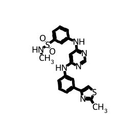 CNS(=O)(=O)c1cccc(Nc2cc(Nc3cccc(-c4csc(C)n4)c3)ncn2)c1